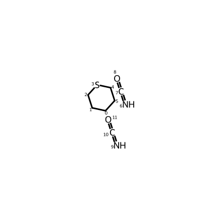 C1CCSCC1.N=C=O.N=C=O